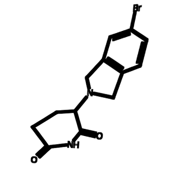 O=C1CCC(N2Cc3ccc(Br)cc3C2)C(=O)N1